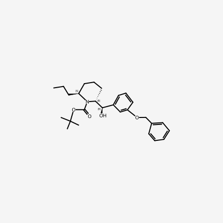 CCC[C@H]1CCC[C@H]([C@H](O)c2cccc(OCc3ccccc3)c2)N1C(=O)OC(C)(C)C